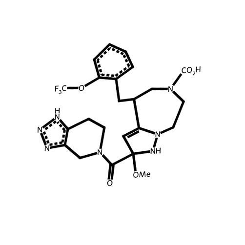 COC1(C(=O)N2CCc3[nH]nnc3C2)C=C2C(Cc3ccccc3OC(F)(F)F)CN(C(=O)O)CCN2N1